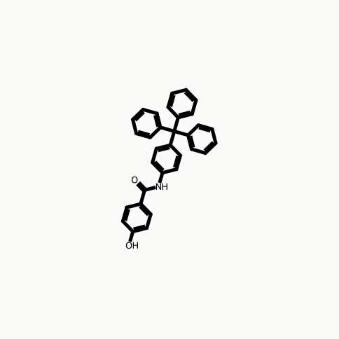 O=C(Nc1ccc(C(c2ccccc2)(c2ccccc2)c2ccccc2)cc1)c1ccc(O)cc1